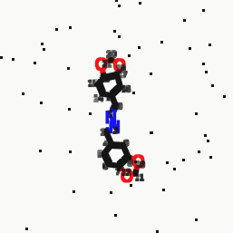 C(=NN=Cc1ccc2c(c1)OCO2)c1ccc2c(c1)OCO2